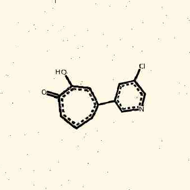 O=c1cccc(-c2cncc(Cl)c2)cc1O